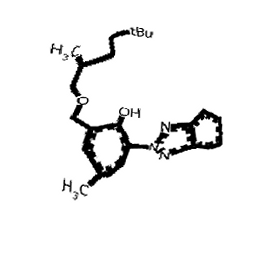 Cc1cc(COCC(C)CCC(C)(C)C)c(O)c(-n2nc3ccccc3n2)c1